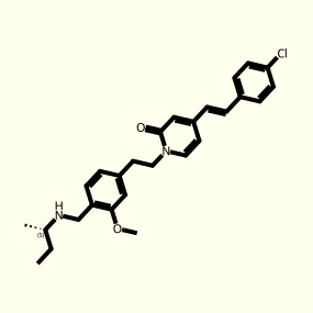 CC[C@H](C)NCc1ccc(CCn2ccc(C=Cc3ccc(Cl)cc3)cc2=O)cc1OC